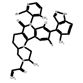 C=CC(=O)N1CC2CCc3c(c4cc(F)c(-c5c(C)ccc6[nH]ncc56)c(Cl)c4n(-c4c(C)ccnc4C(C)C)c3=O)N2CC1C